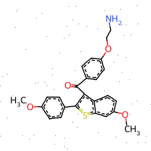 COc1ccc(-c2sc3cc(OC)ccc3c2C(=O)c2ccc(OCCN)cc2)cc1